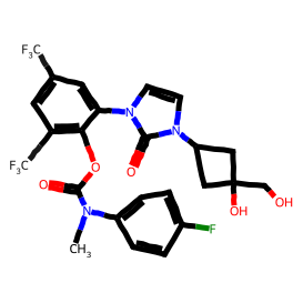 CN(C(=O)Oc1c(-n2ccn(C3CC(O)(CO)C3)c2=O)cc(C(F)(F)F)cc1C(F)(F)F)c1ccc(F)cc1